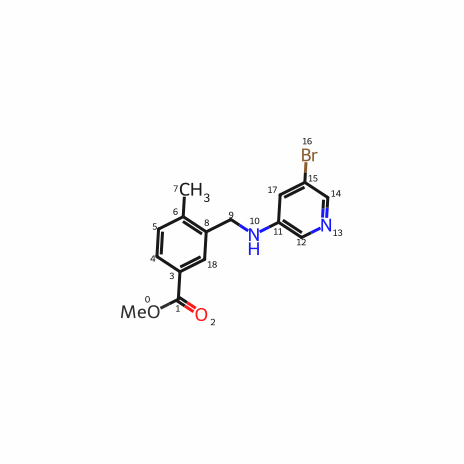 COC(=O)c1ccc(C)c(CNc2cncc(Br)c2)c1